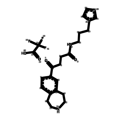 O=C(CCC(=O)c1ccc2c(c1)CCNCC2)NCCCn1ccnc1.O=C(O)C(F)(F)F